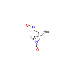 CC(C)(C)CC(C)(CCN=C=O)CN=C=O